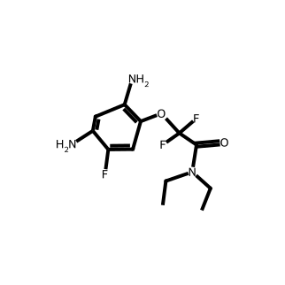 CCN(CC)C(=O)C(F)(F)Oc1cc(F)c(N)cc1N